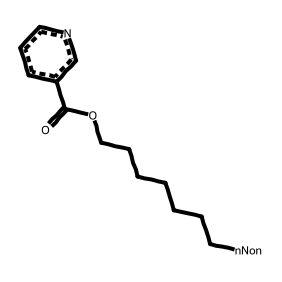 CCCCCCCCCCCCCCCCOC(=O)c1cccnc1